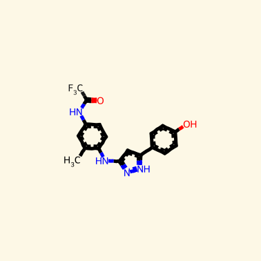 Cc1cc(NC(=O)C(F)(F)F)ccc1Nc1cc(-c2ccc(O)cc2)[nH]n1